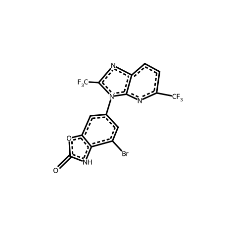 O=c1[nH]c2c(Br)cc(-n3c(C(F)(F)F)nc4ccc(C(F)(F)F)nc43)cc2o1